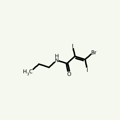 CCCNC(=O)C(I)=C(Br)I